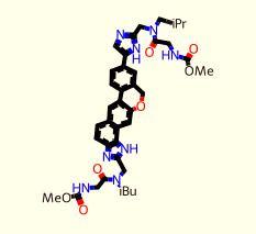 CC[C@H](C)N(Cc1nc2ccc3cc4c(cc3c2[nH]1)OCc1cc(-c2cnc(CN(CC(C)C)C(=O)CNC(=O)OC)[nH]2)ccc1-4)C(=O)CNC(=O)OC